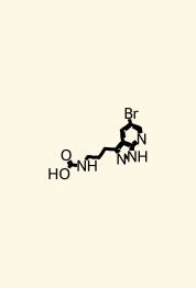 O=C(O)NCCCc1n[nH]c2ncc(Br)cc12